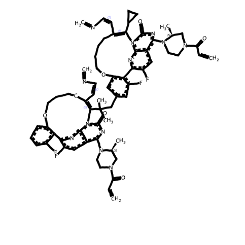 C=CC(=O)N1CCN(c2nc(=O)n3c4nc(c(F)cc24)-c2c(F)cc(CC(C)(C)/C4=C(\C=C/N=C)CCCCOc5cccc(F)c5-c5nc6c(cc5F)c(N5CCN(C(=O)C=C)C[C@@H]5C)nc(=O)n64)cc2OCCCCC(/C=C\N=C)=C\3C2CC2)[C@@H](C)C1